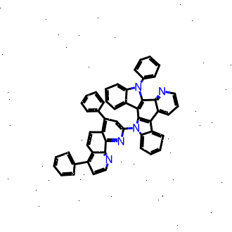 c1ccc(-c2ccnc3c2ccc2c(-c4ccccc4)cc(-n4c5ccccc5c5c6cccnc6c6c(c7ccccc7n6-c6ccccc6)c54)nc23)cc1